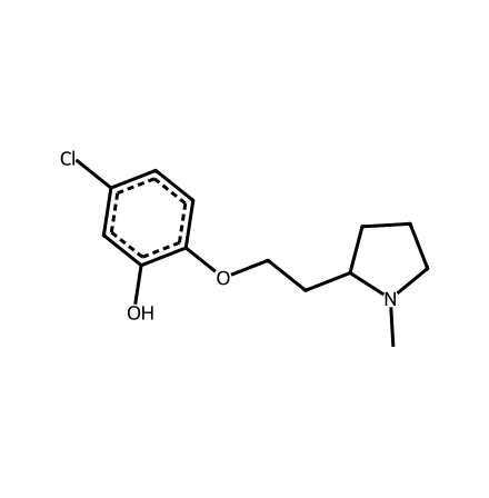 CN1CCCC1CCOc1ccc(Cl)cc1O